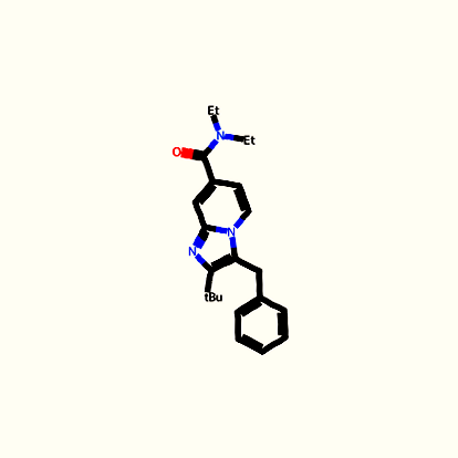 CCN(CC)C(=O)c1ccn2c(Cc3ccccc3)c(C(C)(C)C)nc2c1